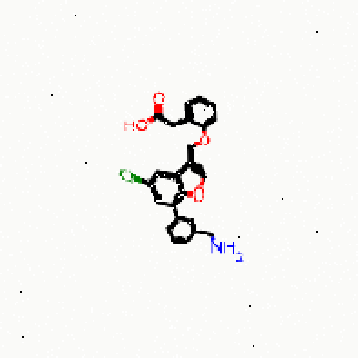 NCc1cccc(-c2cc(Cl)cc3c(COc4ccccc4CC(=O)O)coc23)c1